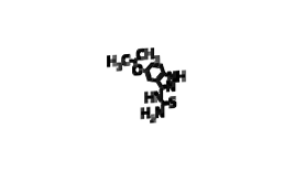 CC(C)Oc1ccc2[nH]nc(NC(N)=S)c2c1